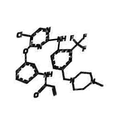 C=CC(=O)Nc1cccc(Oc2nc(Nc3ccc(CN4CCN(C)CC4)cc3C(F)(F)F)ncc2Cl)c1